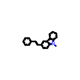 Cn1c2ccccc2c2cc(C=Cc3ccccc3)ccc21